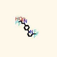 OC1(C(F)(F)F)CC(c2ccc(-c3cccc(C(F)(F)F)n3)cc2)=NO1